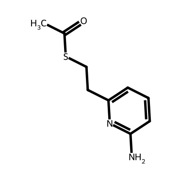 CC(=O)SCCc1cccc(N)n1